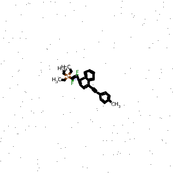 CCS(CC)(CC)/C(F)=C(\F)c1ccc(C#Cc2ccc(C)cc2)c2ccccc12